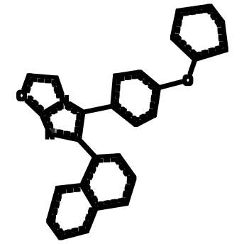 c1ccc(Oc2ccc(-c3c(-c4cccc5ccccc45)nc4occn34)cc2)cc1